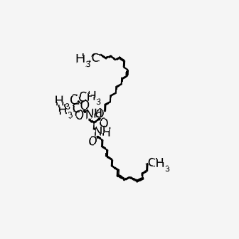 CCCC/C=C\C/C=C\CCCCCCCC(=O)NC[C@@H](CNC(=O)OC(C)(C)C)C(=O)OCCCCCCCC/C=C\C/C=C\CCCCC